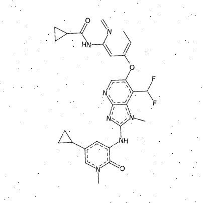 C=N/C(=C\C(=C/C)Oc1cnc2nc(Nc3cc(C4CC4)cn(C)c3=O)n(C)c2c1C(F)F)NC(=O)C1CC1